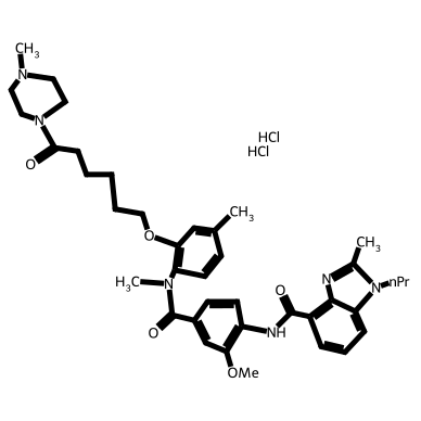 CCCn1c(C)nc2c(C(=O)Nc3ccc(C(=O)N(C)c4ccc(C)cc4OCCCCCC(=O)N4CCN(C)CC4)cc3OC)cccc21.Cl.Cl